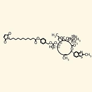 C=CC[C@H]1C(=O)C(C)(C)[C@@H](O[Si](C)(C)C(C)(C)C)CC(=O)O[C@H](c2ccc3sc(C)nc3c2)CC=C(C)CCC[C@H](C)[C@@H]1OC(=O)OCc1ccc(OC(=O)CCCCCCCCCCN2C(=O)C=CC2=O)cc1